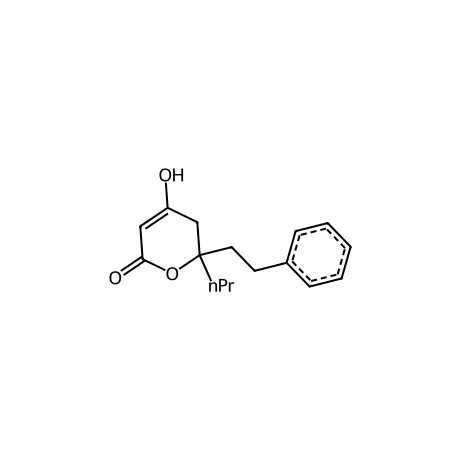 CCCC1(CCc2ccccc2)CC(O)=CC(=O)O1